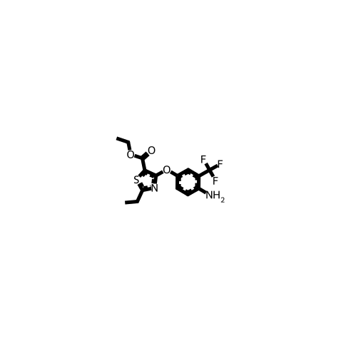 CCOC(=O)c1sc(CC)nc1Oc1ccc(N)c(C(F)(F)F)c1